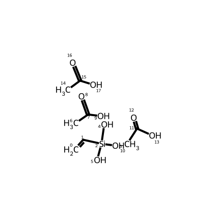 C=C[Si](O)(O)O.CC(=O)O.CC(=O)O.CC(=O)O